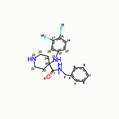 O=C(NCc1ccccc1)C1(Nc2ccc(F)c(F)c2)CCNCC1